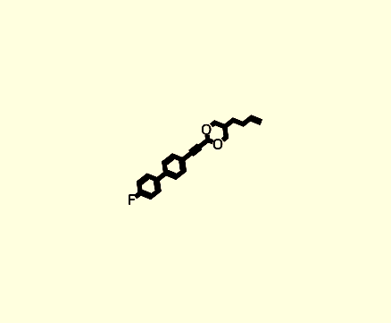 C=CCCC1COC(C#Cc2ccc(-c3ccc(F)cc3)cc2)OC1